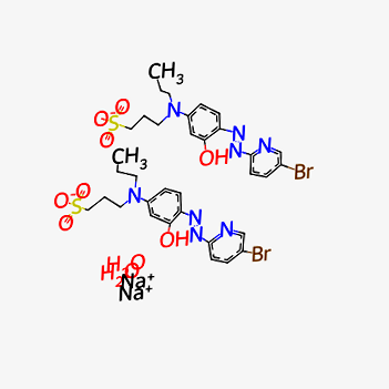 CCCN(CCCS(=O)(=O)[O-])c1ccc(N=Nc2ccc(Br)cn2)c(O)c1.CCCN(CCCS(=O)(=O)[O-])c1ccc(N=Nc2ccc(Br)cn2)c(O)c1.O.O.[Na+].[Na+]